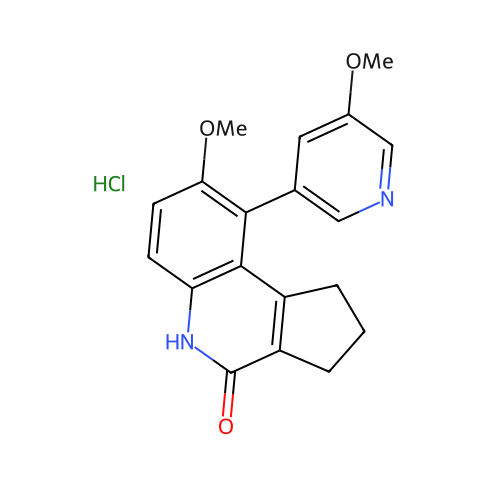 COc1cncc(-c2c(OC)ccc3[nH]c(=O)c4c(c23)CCC4)c1.Cl